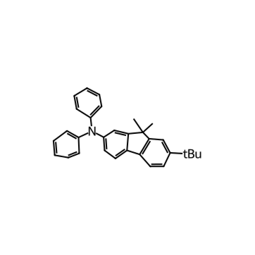 CC(C)(C)c1ccc2c(c1)C(C)(C)c1cc(N(c3ccccc3)c3ccccc3)ccc1-2